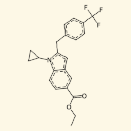 CCOC(=O)c1ccc2c(c1)cc(Cc1ccc(C(F)(F)F)cc1)n2C1CC1